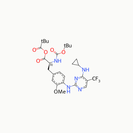 COc1cc(C[C@H](NC(=O)OC(C)(C)C)C(=O)OC(=O)C(C)(C)C)ccc1Nc1ncc(C(F)(F)F)c(NC2CC2)n1